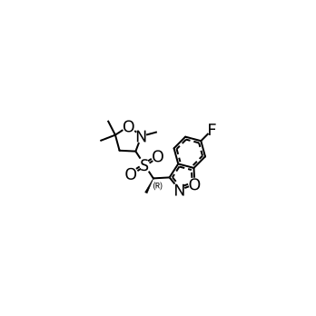 C[C@H](c1noc2cc(F)ccc12)S(=O)(=O)C1CC(C)(C)ON1C